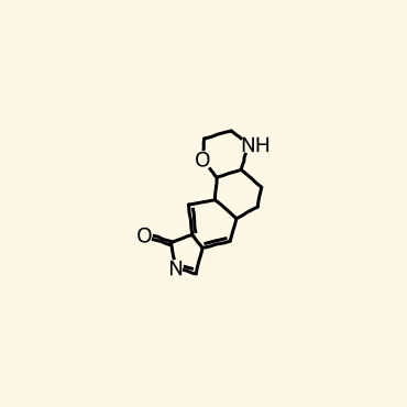 O=C1N=CC2=CC3CCC4NCCOC4C3C=C12